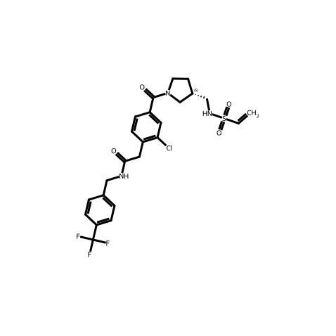 C=CS(=O)(=O)NC[C@H]1CCN(C(=O)c2ccc(CC(=O)NCc3ccc(C(F)(F)F)cc3)c(Cl)c2)C1